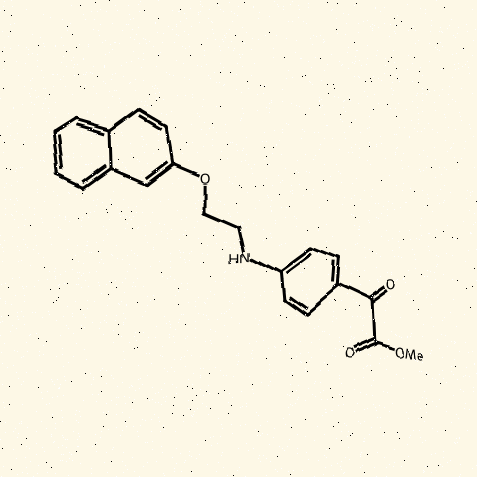 COC(=O)C(=O)c1ccc(NCCOc2ccc3ccccc3c2)cc1